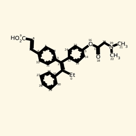 CC/C(=C(/c1ccc(/C=C/C(=O)O)cc1)c1ccc(OC(=O)CN(C)C)cc1)c1ccccc1